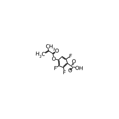 C=C(C)C(=O)Oc1cc(F)c(S(=O)(=O)O)c(F)c1F